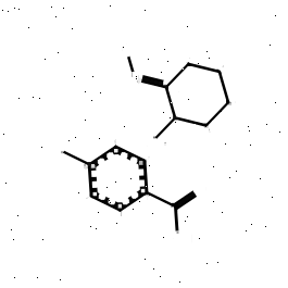 O=C(O)c1ccc(Cl)cc1.ON=C1CCCCC1Cl